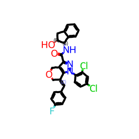 O=C(N[C@H]1c2ccccc2C[C@H]1O)c1nn(-c2ccc(Cl)cc2Cl)c2c1COC/C2=C\c1ccc(F)cc1